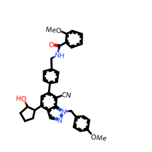 COc1ccc(Cn2ncc3c(C4CCCC4O)cc(-c4ccc(CNC(=O)c5ccccc5OC)cc4)c(C#N)c32)cc1